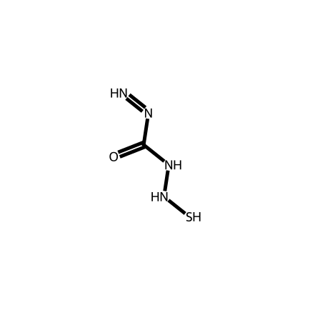 N=NC(=O)NNS